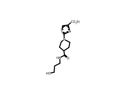 CCOC(=O)c1csc(N2CCC(C(=O)NCCCO)CC2)n1